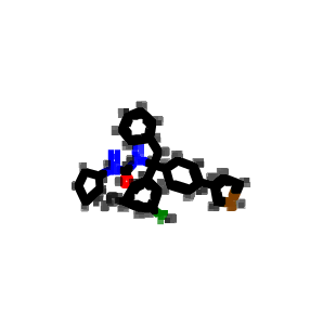 O=C(NC1CCCC1)NC(Cc1ccccc1)(c1cc(F)cc(C(F)(F)F)c1)C1C=CC(c2ccsc2)=CC1